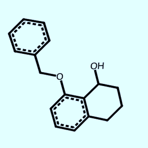 OC1CCCc2cccc(OCc3ccccc3)c21